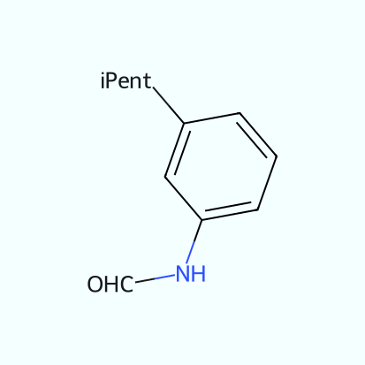 CCCC(C)c1cccc(NC=O)c1